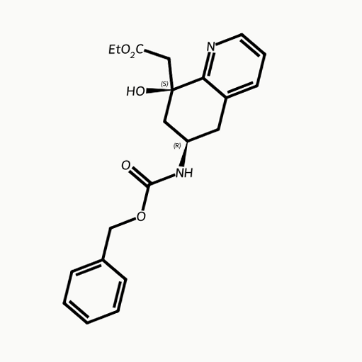 CCOC(=O)C[C@@]1(O)C[C@H](NC(=O)OCc2ccccc2)Cc2cccnc21